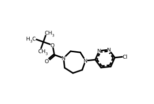 CC(C)(C)OC(=O)N1CCCN(c2ccc(Cl)nn2)CC1